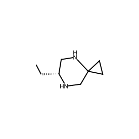 CC[C@@H]1CNC2(CC2)CN1